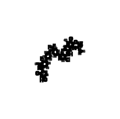 Cn1nc(C2CCC(=O)NC2=O)c2ccc(C3CCN(CC4(C(F)F)CCN(c5ncc(Cl)c(Nc6cc7c8c(c(=O)n(C)c7cc6F)OCC(F)(F)[C@H](C6CC6)N8)n5)CC4)CC3)c(F)c21